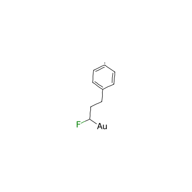 F[CH]([Au])CCc1cc[c]cc1